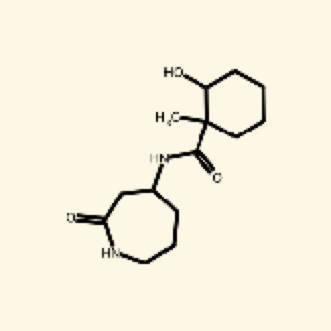 CC1(C(=O)NC2CCCNC(=O)C2)CCCCC1O